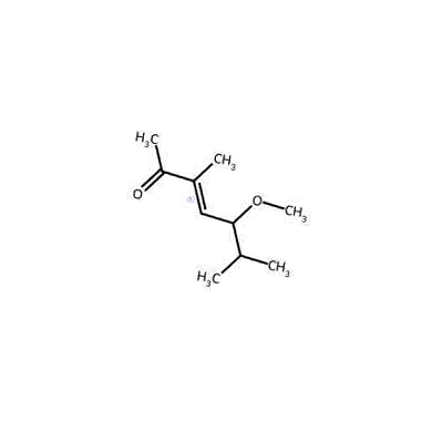 COC(/C=C(\C)C(C)=O)C(C)C